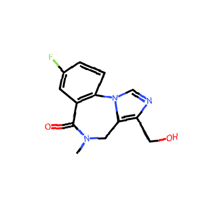 CN1Cc2c(CO)ncn2-c2ccc(F)cc2C1=O